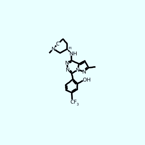 Cc1cc2c(N[C@@H]3CCCN(C)C3)nnc(-c3ccc(C(F)(F)F)cc3O)n2n1